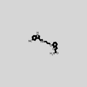 N#Cc1ccc2[nH]cc(CCNCCCOc3cccc4cc(C(N)=O)oc34)c2c1